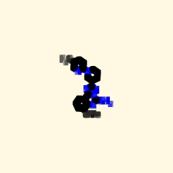 COc1cccc2c1nc(N)n1nc([C@@H]3CCCN(c4ccc(C(F)(F)F)cn4)C3)nc21